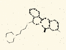 O=c1c2cc(F)ccc2nc2c3ccccc3c(NCCCN3CCOCC3)nn12